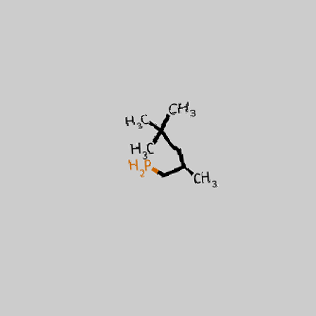 C[C@@H](CP)CC(C)(C)C